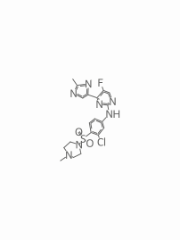 Cc1ncc(-c2nc(Nc3ccc(S(=O)(=O)N4CCN(C)CC4)c(Cl)c3)ncc2F)n1C